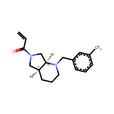 C=CC(=O)N1C[C@@H]2CCCN(Cc3cccc(C(F)(F)F)c3)[C@@H]2C1